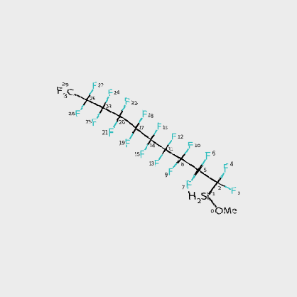 CO[SiH2]C(F)(F)C(F)(F)C(F)(F)C(F)(F)C(F)(F)C(F)(F)C(F)(F)C(F)(F)C(F)(F)C(F)(F)F